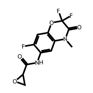 CN1C(=O)C(F)(F)Oc2cc(F)c(NC(=O)C3CO3)cc21